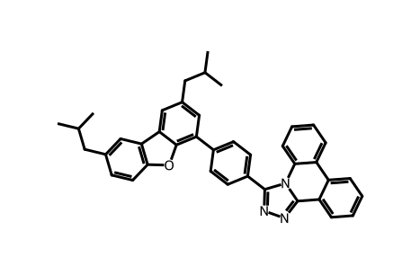 CC(C)Cc1ccc2oc3c(-c4ccc(-c5nnc6c7ccccc7c7ccccc7n56)cc4)cc(CC(C)C)cc3c2c1